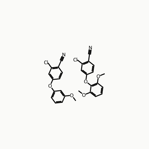 COc1cccc(OC)c1Oc1ccc(C#N)c(Cl)c1.COc1cccc(Oc2ccc(C#N)c(Cl)c2)c1